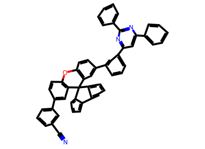 N#Cc1cccc(-c2ccc3c(c2)C2(c4cc(-c5cccc(-c6cc(-c7ccccc7)nc(-c7ccccc7)n6)c5)ccc4O3)c3ccccc3-c3ccccc32)c1